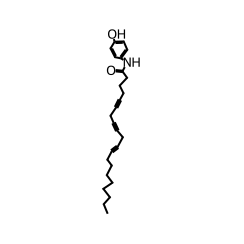 CCCCCCCCC#CCC#CCC#CCCCC(=O)Nc1ccc(O)cc1